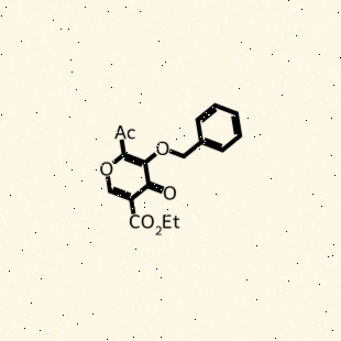 CCOC(=O)c1coc(C(C)=O)c(OCc2ccccc2)c1=O